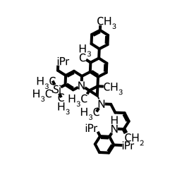 C=C(/C=C\CCN(C)[C@H]1C2(C)C3=C(C(C)C(C4C=CC(C)=CC4)C=C3)C3C=C(CC(C)C)C([Si](C)(C)C)=CN3C12C)NC1=C(C(C)C)CCC=C1C(C)C